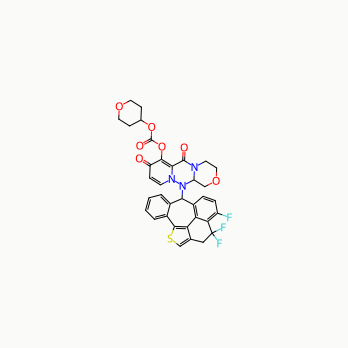 O=C(Oc1c2n(ccc1=O)N(C1c3ccccc3-c3scc4c3-c3c1ccc(F)c3C(F)(F)C4)C1COCCN1C2=O)OC1CCOCC1